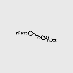 CCCCCCCCOc1ccc(OCCCC2CCC(CCCCC)CC2)cc1